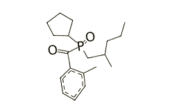 CCCC(C)CP(=O)(C(=O)c1ccccc1C)C1CCCC1